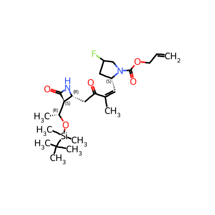 C=CCOC(=O)N1CC(F)C[C@H]1C=C(C)C(=O)C[C@H]1NC(=O)[C@@H]1[C@@H](C)O[Si](C)(C)C(C)(C)C